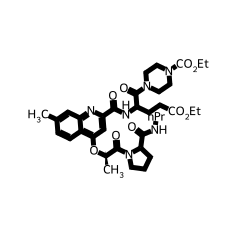 CCCNC(=O)C1CCCN1C(=O)[C@@H](C)Oc1cc(C(=O)NC(CCC(=O)OCC)C(=O)N2CCN(C(=O)OCC)CC2)nc2cc(C)ccc12